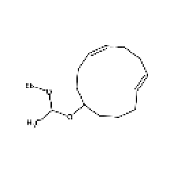 CCOC(C)OC1CC/C=C\CC/C=C/CCC1